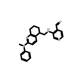 CN(c1ccccc1)c1ccc2c(n1)CCCC2CNc1cnccc1C=O